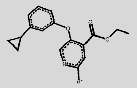 CCOC(=O)c1cc(Br)ncc1Oc1cccc(C2CC2)c1